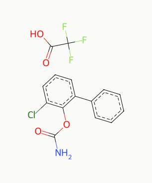 NC(=O)Oc1c(Cl)cccc1-c1ccccc1.O=C(O)C(F)(F)F